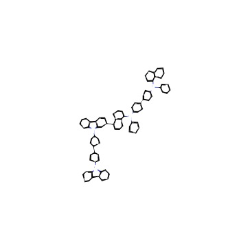 c1ccc(N(c2ccc(-c3ccc(N(c4ccccc4)c4cccc5c(-c6ccc7c8ccccc8n(-c8ccc(-c9ccc(-n%10c%11ccccc%11c%11ccccc%11%10)cc9)cc8)c7c6)cccc45)cc3)cc2)c2cccc3ccccc23)cc1